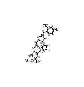 CCCC(CCC)(CC1CCN(C[C@H]2CN(Cc3ccc(Cl)cc3Cl)C[C@@H]2c2ccsc2)CC1)OC